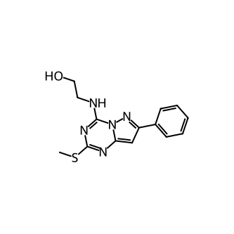 CSc1nc(NCCO)n2nc(-c3ccccc3)cc2n1